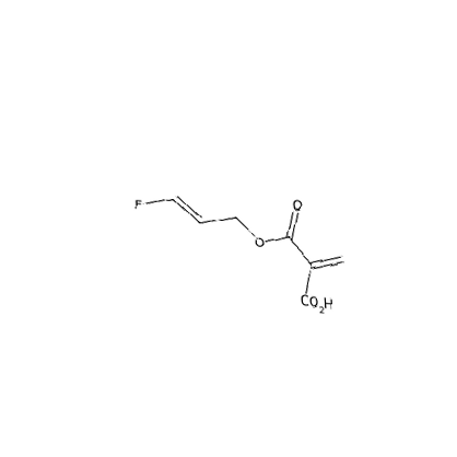 C=C(C(=O)O)C(=O)OCC=CF